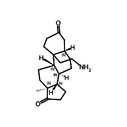 C[C@]12CC[C@H]3[C@@H](CC[C@H]4CC(=O)CCC43CCN)[C@@H]1CCC2=O